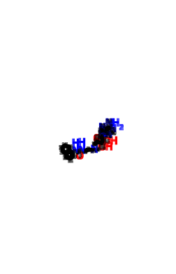 CN(CCCNC(=O)Nc1cccc2c1CCCC2)CC1O[C@@H](n2cnc3c(N)ncnc32)[C@H](O)[C@@H]1O